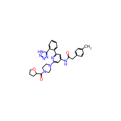 Cc1ccc(CC(=O)Nc2cc(-c3ccccc3-c3nnn[nH]3)nc(N3CCN(C(=O)C4CCCO4)CC3)c2)cc1